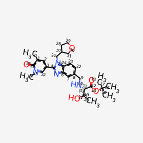 Cc1cc(-c2nc3cc(CN[C@H](C(=O)OC(C)(C)C)[C@@H](C)O)ccc3n2CC2CCOC2)cn(C)c1=O